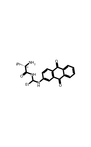 CCC(NC(=O)[C@@H](N)C(C)C)Nc1ccc2c(c1)C(=O)c1ccccc1C2=O